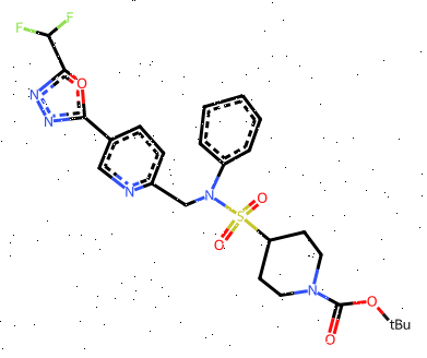 CC(C)(C)OC(=O)N1CCC(S(=O)(=O)N(Cc2ccc(-c3nnc(C(F)F)o3)cn2)c2ccccc2)CC1